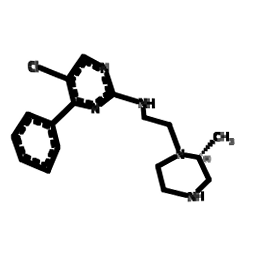 C[C@@H]1CNCCN1CCNc1ncc(Cl)c(-c2ccccc2)n1